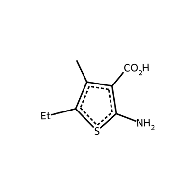 CCc1sc(N)c(C(=O)O)c1C